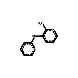 Cc1ncccc1Nc1ccccn1